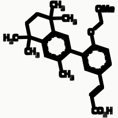 COCOc1ccc(C=CC(=O)O)cc1-c1cc2c(cc1C)C(C)(C)CCC2(C)C